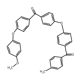 COc1ccc(Oc2ccc(C(=O)c3ccc(Oc4ccc(C(=O)c5ccc(C)cc5)cc4)cc3)cc2)cc1